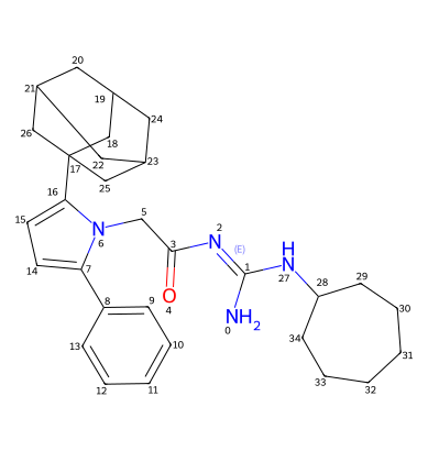 N/C(=N\C(=O)Cn1c(-c2ccccc2)ccc1C12CC3CC(CC(C3)C1)C2)NC1CCCCCC1